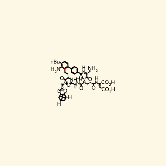 CCCCc1ccc(-c2ccc(C(=O)N[C@@H](CN)C(=O)N[C@@H](CCC(=O)N[C@H](CC(=O)O)C(=O)O)C(=O)N[C@@H](C)C(=O)N[C@@H](CCCCN)C(=O)N[C@@H](C)B3OC4C[C@@H]5C[C@@H](C5(C)C)[C@]4(C)O3)cc2)cc1